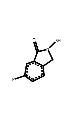 O=C1c2cc(F)ccc2CN1S